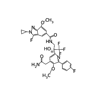 CCOc1c(CC(N)=O)cc([C@@](O)(CNC(=O)c2cc(OC)c3nn(C4CC4)c(F)c3c2)C(F)(F)F)nc1-c1ccc(F)cc1